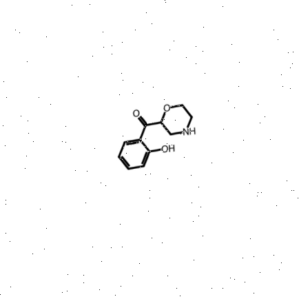 O=C(c1ccccc1O)C1CNCCO1